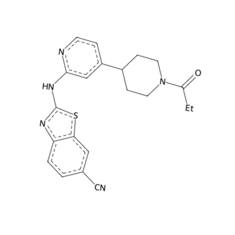 CCC(=O)N1CCC(c2ccnc(Nc3nc4ccc(C#N)cc4s3)c2)CC1